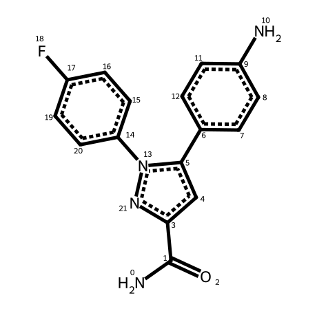 NC(=O)c1cc(-c2ccc(N)cc2)n(-c2ccc(F)cc2)n1